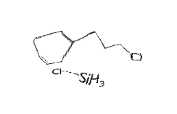 ClCCCC1CC=CCC1.[SiH3]Cl